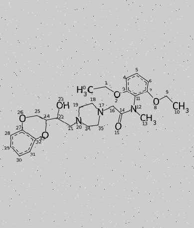 CCOc1cccc(OCC)c1N(C)C(=O)CN1CCN(CC(O)C2COc3ccccc3O2)CC1